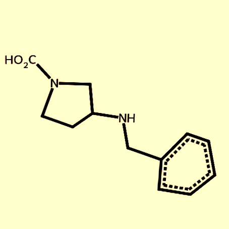 O=C(O)N1CCC(NCc2ccccc2)C1